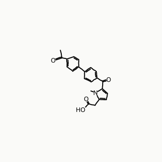 CC(=O)c1ccc(-c2ccc(C(=O)c3ccc(CC(=O)O)n3C)cc2)cc1